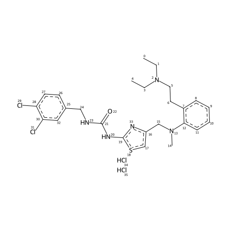 CCN(CC)CCc1ccccc1N(C)Cc1csc(NC(=O)NCc2ccc(Cl)c(Cl)c2)n1.Cl.Cl